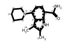 Cc1[nH]c2c(C(N)=O)ccc(N3CCCCC3)c2c1C